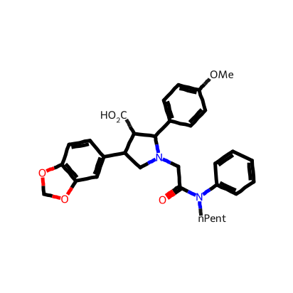 CCCCCN(C(=O)CN1CC(c2ccc3c(c2)OCO3)C(C(=O)O)C1c1ccc(OC)cc1)c1ccccc1